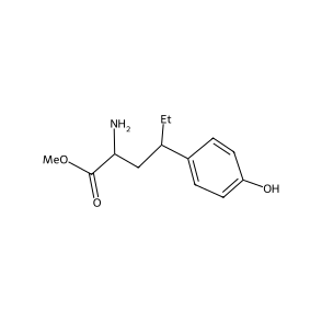 CCC(CC(N)C(=O)OC)c1ccc(O)cc1